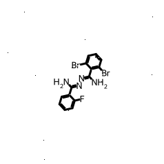 N/C(=N\N=C(/N)c1c(Br)cccc1Br)c1ccccc1F